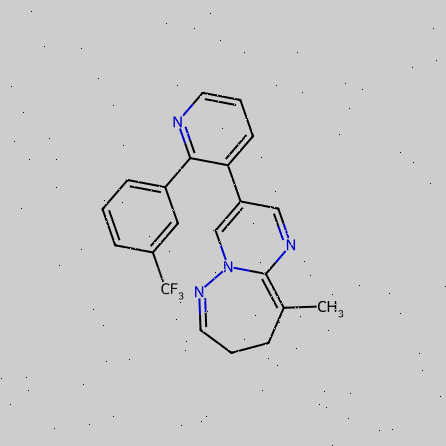 CC1=C2N=CC(c3cccnc3-c3cccc(C(F)(F)F)c3)=CN2N=CCC1